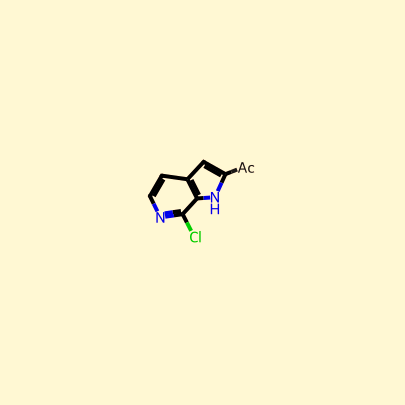 CC(=O)c1cc2ccnc(Cl)c2[nH]1